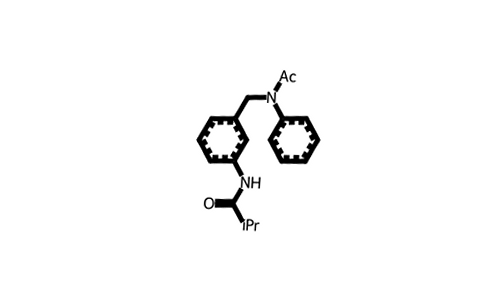 CC(=O)N(Cc1cccc(NC(=O)C(C)C)c1)c1ccccc1